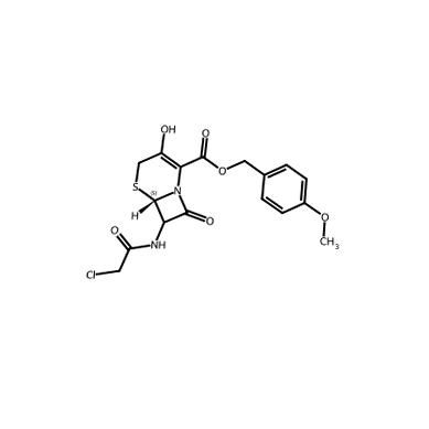 COc1ccc(COC(=O)C2=C(O)CS[C@H]3C(NC(=O)CCl)C(=O)N23)cc1